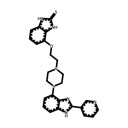 S=c1[nH]c2cccc(OCCN3CCN(c4cccc5[nH]c(-c6cccnc6)nc45)CC3)c2[nH]1